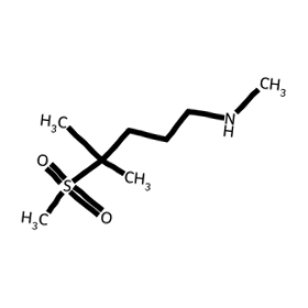 CNCCCC(C)(C)S(C)(=O)=O